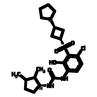 CC1CC[C@@H](NC(=O)Nc2ccc(Cl)c(S(=O)(=O)[C@H]3C[C@H](N4CCCC4)C3)c2O)C1C